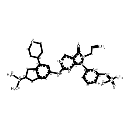 C=CCn1c(=O)c2cnc(Nc3cc4c(c(C5CCOCC5)c3)CC(N(C)C)C4)nc2n1-c1cccc(N=S(C)(C)=O)n1